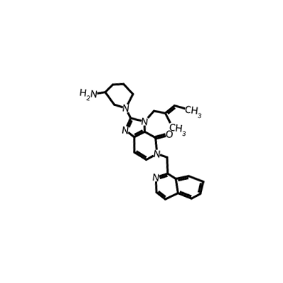 C/C=C(\C)Cn1c(N2CCCC(N)C2)nc2ccn(Cc3nccc4ccccc34)c(=O)c21